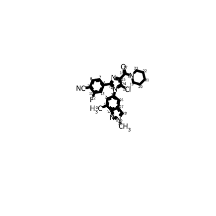 Cc1cc(-n2c(-c3ccc(C#N)c(F)c3)nc(C(=O)N3CCCCC3)c2Cl)cc2cn(C)nc12